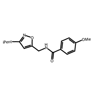 CCCC(C)c1cc(CNC(=O)c2ccc(OC)cc2)on1